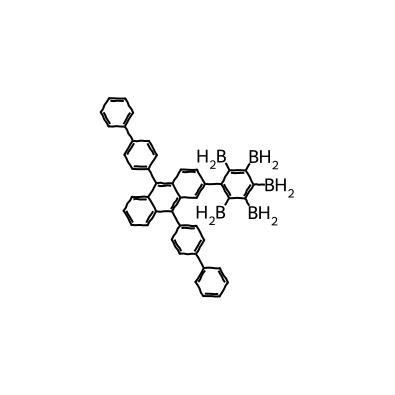 Bc1c(B)c(B)c(-c2ccc3c(-c4ccc(-c5ccccc5)cc4)c4ccccc4c(-c4ccc(-c5ccccc5)cc4)c3c2)c(B)c1B